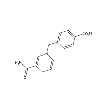 NC(=O)C1=CN(Cc2ccc(C(=O)O)cc2)C=CC1